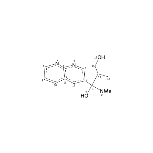 CNC(O)(c1cnc2ncccc2c1)C(C)CO